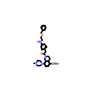 COc1ccc(N2CCN(C)CC2)c2c1CCN(C(=O)Cc1ccc(NCCOCc3ccccc3)cc1)C2